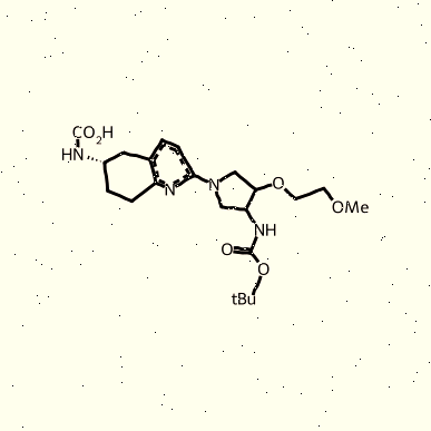 COCCOC1CN(c2ccc3c(n2)CC[C@H](NC(=O)O)C3)CC1NC(=O)OC(C)(C)C